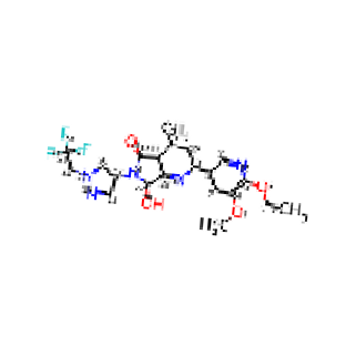 CCOC1=C(OC)CC(C2CC(C)C3C(=O)N(C4C=NN(CC(F)(F)F)C4)C(O)C3=N2)C=N1